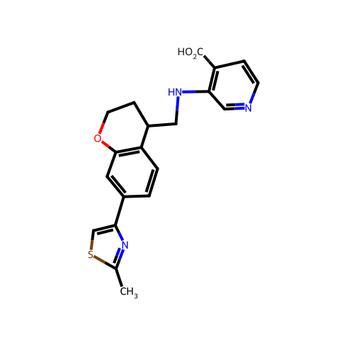 Cc1nc(-c2ccc3c(c2)OCCC3CNc2cnccc2C(=O)O)cs1